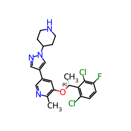 Cc1ncc(-c2cnn(C3CCNCC3)c2)cc1O[C@H](C)c1c(Cl)ccc(F)c1Cl